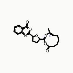 CC1=C\CCCCC(=O)O/C(C2CCC(c3nc4ccccc4c(=O)o3)S2)=N\1